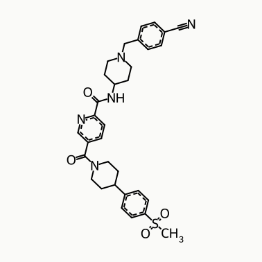 CS(=O)(=O)c1ccc(C2CCN(C(=O)c3ccc(C(=O)NC4CCN(Cc5ccc(C#N)cc5)CC4)nc3)CC2)cc1